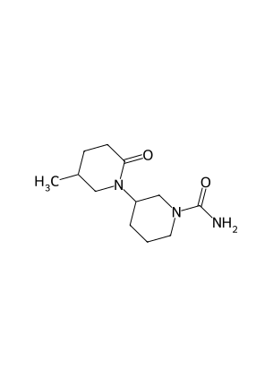 CC1CCC(=O)N(C2CCCN(C(N)=O)C2)C1